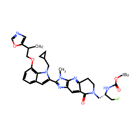 CC(=O)OC(COc1cccc2cc(-c3nc4cc5c(nc4n3C)CCN(C[C@@H](CF)NC(=O)OC(C)(C)C)C5=O)n(CC3CC3)c12)c1cnco1